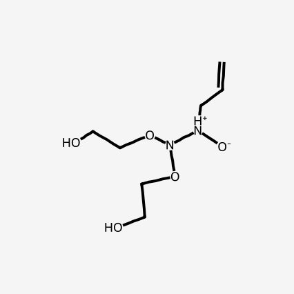 C=CC[NH+]([O-])N(OCCO)OCCO